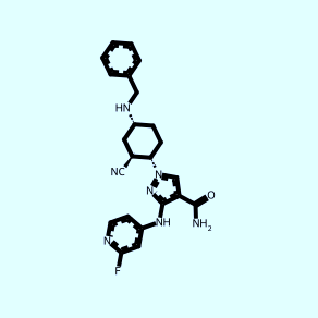 N#C[C@H]1C[C@H](NCc2ccccc2)CC[C@@H]1n1cc(C(N)=O)c(Nc2ccnc(F)c2)n1